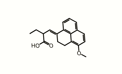 CCC(C=C1CCc2c(OC)ccc3cccc1c23)C(=O)O